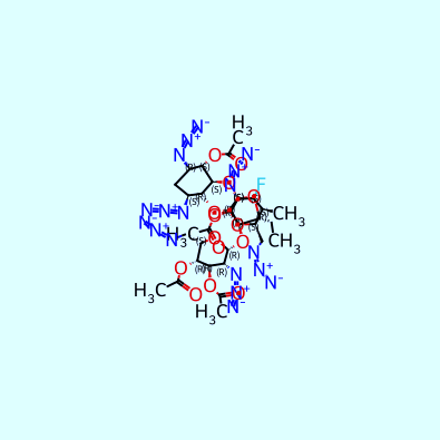 CC[C@H]1O[C@@H](O[C@@H]2[C@@H](OC(C)=O)[C@H](N=[N+]=[N-])C[C@H](N=[N+]=[N-])[C@H]2O[C@H]2O[C@H](CN=[N+]=[N-])[C@H](C)[C@H](F)[C@H]2N=[N+]=[N-])[C@H](OC(C)=O)[C@@H]1O[C@H]1O[C@@H](CN=[N+]=[N-])[C@@H](OC(C)=O)[C@H](OC(C)=O)[C@H]1N=[N+]=[N-]